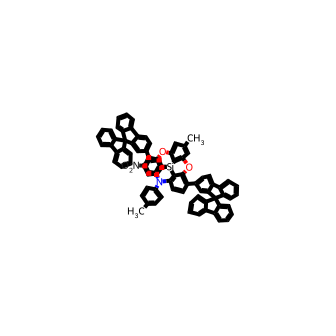 Cc1ccc(N2c3ccc(-c4ccc5c(c4)C4(c6ccccc6-c6ccccc64)c4ccccc4-5)c4c3[Si]3(c5ccc([N+](=O)[O-])cc5)c5c(cc(C)cc5Oc5c(-c6ccc7c(c6)C6(c8ccccc8-c8ccccc86)c6ccccc6-7)ccc2c53)O4)cc1